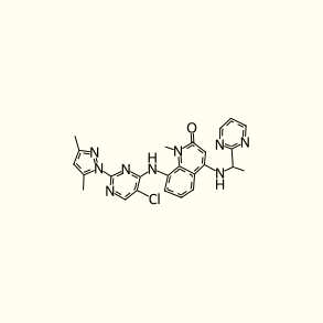 Cc1cc(C)n(-c2ncc(Cl)c(Nc3cccc4c(NC(C)c5ncccn5)cc(=O)n(C)c34)n2)n1